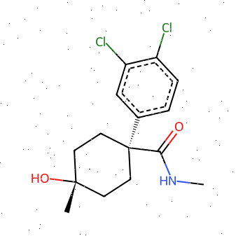 CNC(=O)[C@]1(c2ccc(Cl)c(Cl)c2)CC[C@@](C)(O)CC1